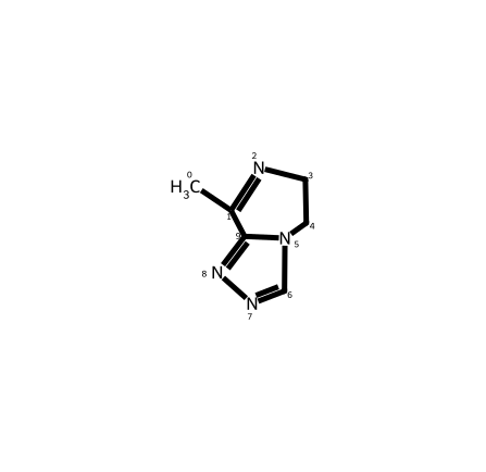 CC1=NCCn2cnnc21